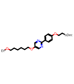 CCCCCCCCCCCCOc1ccc(-c2ncc(OCCCCCCOCC)cn2)cc1